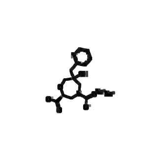 O=C([O-])[C@@H]1CN(C(=O)[O-])CC(O)(Cc2ccccn2)CO1.[Na+].[Na+]